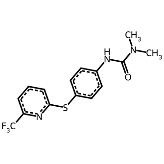 CN(C)C(=O)Nc1ccc(Sc2cccc(C(F)(F)F)n2)cc1